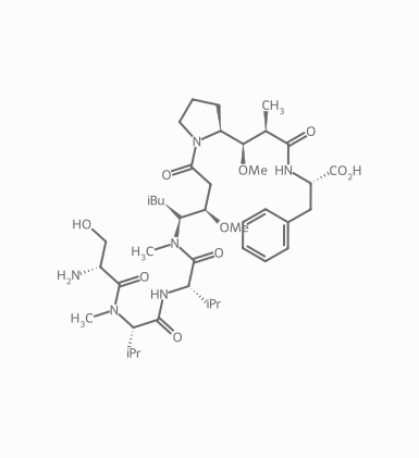 CC[C@H](C)[C@@H]([C@@H](CC(=O)N1CCC[C@H]1[C@H](OC)[C@@H](C)C(=O)N[C@@H](Cc1ccccc1)C(=O)O)OC)N(C)C(=O)[C@@H](NC(=O)[C@H](C(C)C)N(C)C(=O)[C@H](N)CO)C(C)C